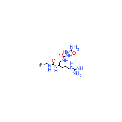 CC(C)CNC(=O)NC(CCCNC(=N)N)CNC(=O)NNC(N)=O